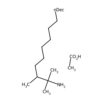 CC(=O)O.CCCCCCCCCCCCCCCCC(C)C(C)(C)N